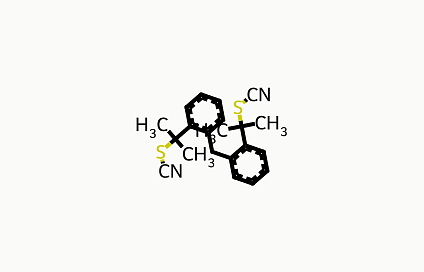 CC(C)(SC#N)c1ccccc1Cc1ccccc1C(C)(C)SC#N